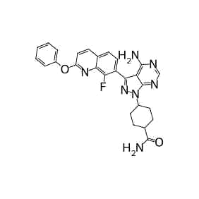 NC(=O)C1CCC(n2nc(-c3ccc4ccc(Oc5ccccc5)nc4c3F)c3c(N)ncnc32)CC1